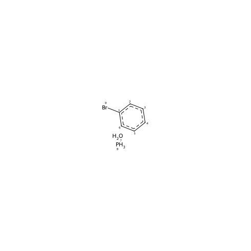 Brc1ccccc1.O.P